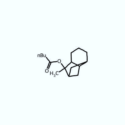 CCCCC(=O)OC1(C)C2CC3CCCC1C3C2